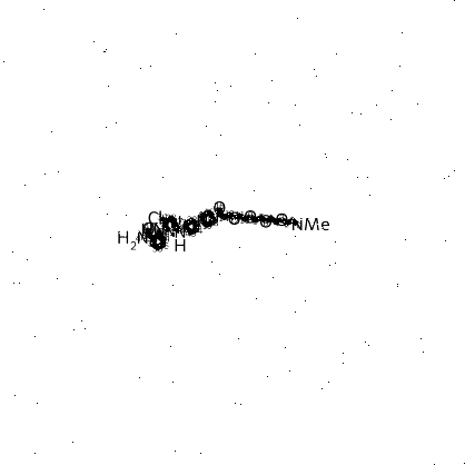 CNCCOCCOCCOCCOCCC(=O)N1CCN(c2ccc(Nc3ncc(Cl)c(Nc4ccccc4C(N)=O)n3)cc2)CC1